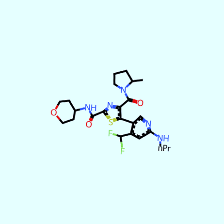 CCCNc1cc(C(F)F)c(-c2sc(C(=O)NC3CCOCC3)nc2C(=O)N2CCCC2C)cn1